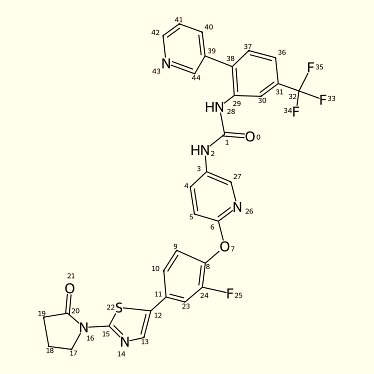 O=C(Nc1ccc(Oc2ccc(-c3cnc(N4CCCC4=O)s3)cc2F)nc1)Nc1cc(C(F)(F)F)ccc1-c1cccnc1